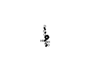 COCCOCOc1cccc(C(=N)NOC(C)=O)c1